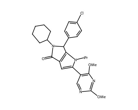 COc1ncc(-c2cc3c(n2C(C)C)C(c2ccc(Cl)cc2)N(C2CCCCC2)C3=O)c(OC)n1